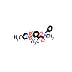 Cc1c(C(=O)N(C)Cc2ccccc2)oc2ccc(S(=O)(=O)N3CCC(C)CC3)cc12